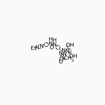 CCN1CCN(c2ccc(NC(=O)Nc3ccc(-c4nc(N5CCOC[C@H]5C)nc(N5[C@H](CO)CC[C@@H]5CO)n4)cc3)cc2)CC1